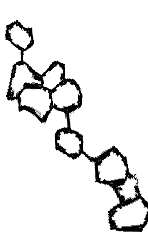 c1ccc(-c2ccc3ccc4c(-c5cccc(-c6ccc7sc8ccccc8c7c6)c5)ccc5ccc2c3c54)cc1